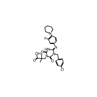 CC(C)(Cn1c(=O)[nH]/c(=N\c2ccc(N3CCCCC3)c(F)c2)n(Cc2ccc(Cl)cc2)c1=O)C(=O)O